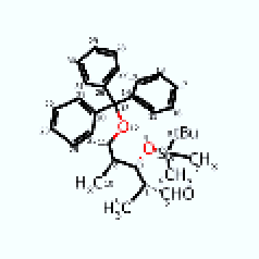 C[C@@H](C=O)[C@@H](O[Si](C)(C)C(C)(C)C)[C@@H](C)COC(c1ccccc1)(c1ccccc1)c1ccccc1